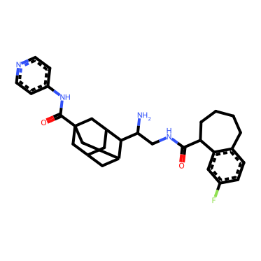 NC(CNC(=O)C1CCCCc2ccc(F)cc21)C1C2CC3CC1CC(C(=O)Nc1ccncc1)(C3)C2